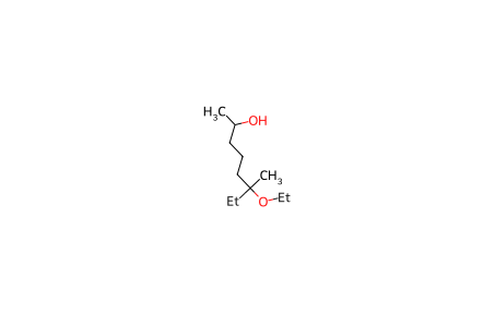 CCOC(C)(CC)CCCC(C)O